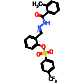 Cc1ccccc1C(=O)N/N=C/c1ccccc1OS(=O)(=O)c1ccc(C(F)(F)F)cc1